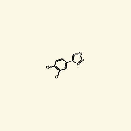 Clc1ccc(C2=C[N]N=N2)cc1Cl